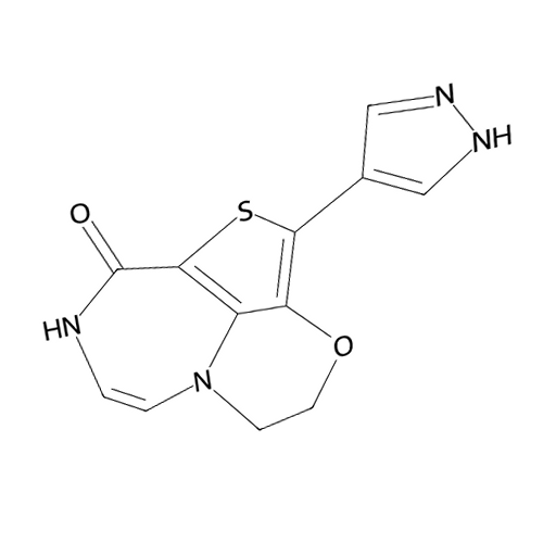 O=C1NC=CN2CCOc3c(-c4cn[nH]c4)sc1c32